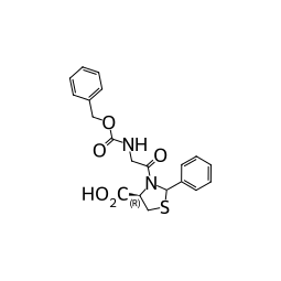 O=C(NCC(=O)N1C(c2ccccc2)SC[C@H]1C(=O)O)OCc1ccccc1